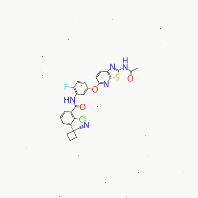 CC(=O)Nc1nc2ccc(Oc3ccc(F)c(NC(=O)c4cccc(C5(C#N)CCC5)c4Cl)c3)nc2s1